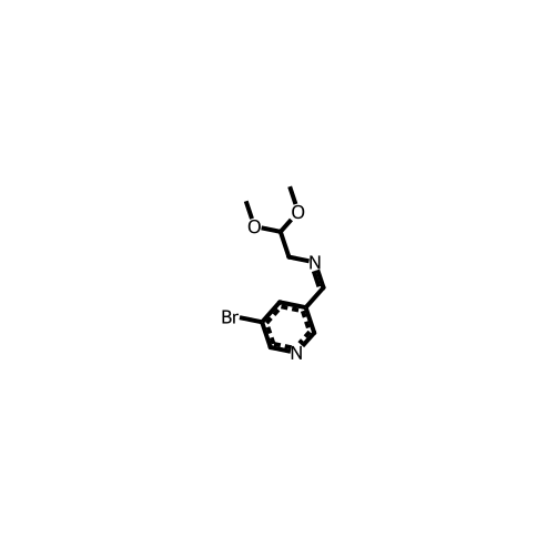 COC(C/N=C\c1cncc(Br)c1)OC